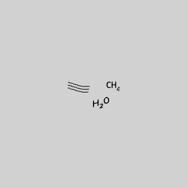 C.C#C.O